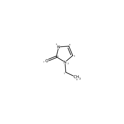 CCN1C=C[N]C1=O